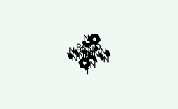 O=C(Nc1cnccn1)N(c1c(Br)cnc2ccccc12)N(C(=O)Nc1cnccn1)c1ccnc2c(I)cccc12